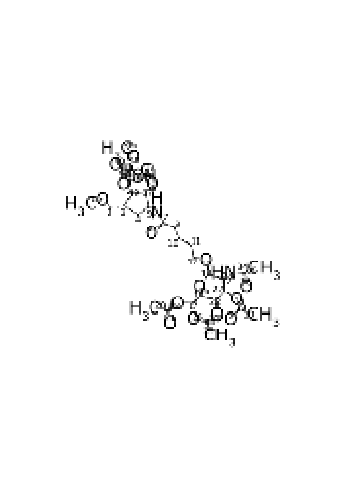 COC[C@H]1C[C@@H](NC(=O)CCCCO[C@@H]2O[C@H](COC(C)=O)[C@H](OC(C)=O)[C@H](OC(C)=O)[C@H]2NC(C)=O)[C@@H](OC)C1OP(=O)(O)OC